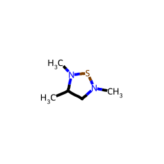 CC1CN(C)SN1C